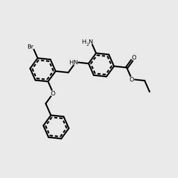 CCOC(=O)c1ccc(NCc2cc(Br)ccc2OCc2ccccc2)c(N)c1